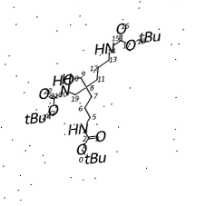 CC(C)(C)OC(=O)NCCCC(CO)(CCCNC(=O)OC(C)(C)C)CNC(=O)OC(C)(C)C